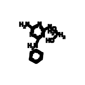 Nc1nc(N)nc(N)n1.O=[PH2]O.c1ccccc1